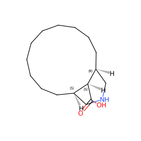 O=C(O)[C@H]1[C@@H]2CCCCCCCCCC[C@H]1CNC2